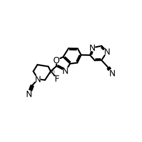 N#Cc1cc(-c2ccc3oc([C@@]4(F)CCCN(C#N)C4)nc3c2)ncn1